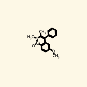 COc1ccc2c(c1)c(-c1ccccc1)c(C)n(C)[c+]2[O-]